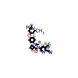 C[C@H]1C[C@@H](Oc2ccc(N3C(=S)N(c4cnc(C#N)c(C(F)(F)F)c4)C(=O)C34CCC4)cc2)C[C@H]2CN21